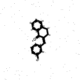 O=C1/C(=C\c2cccc(F)c2)CCc2ccccc21